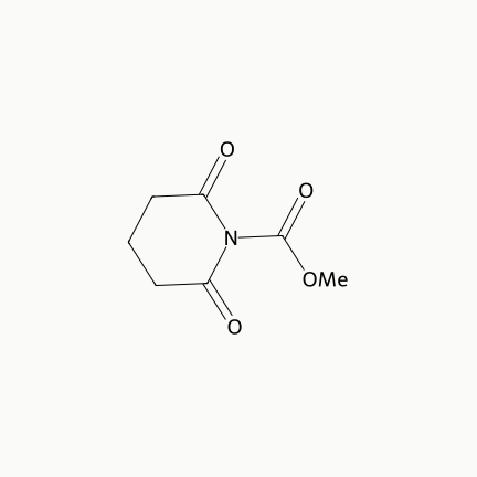 COC(=O)N1C(=O)CCCC1=O